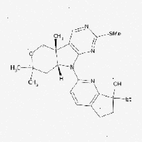 CCC1(O)CCc2ccc(N3c4nc(SC)ncc4[C@@]4(C)COC(C)(C)C[C@@H]34)nc21